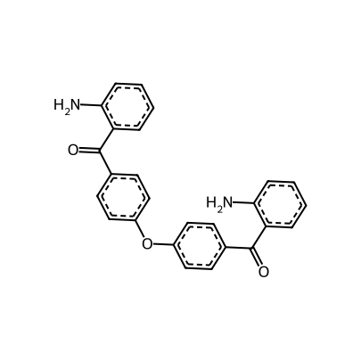 Nc1ccccc1C(=O)c1ccc(Oc2ccc(C(=O)c3ccccc3N)cc2)cc1